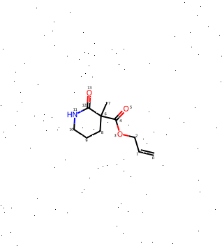 C=CCOC(=O)C1(C)CCCNC1=O